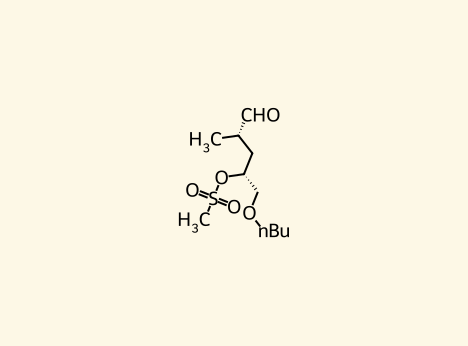 CCCCOC[C@@H](C[C@H](C)C=O)OS(C)(=O)=O